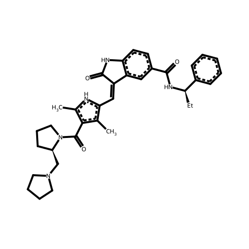 CC[C@@H](NC(=O)c1ccc2c(c1)/C(=C/c1[nH]c(C)c(C(=O)N3CCC[C@@H]3CN3CCCC3)c1C)C(=O)N2)c1ccccc1